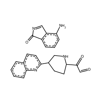 Nc1cccc2c1C=NC2=O.O=CC(=O)C1CCC(c2ccc3ccccc3n2)CN1